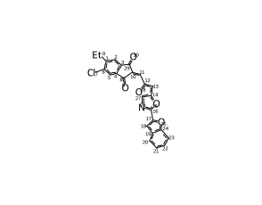 CCc1cc2c(cc1Cl)C(=O)/C(=C\c1cc3oc(-c4cc5ccccc5o4)nc3o1)C2=O